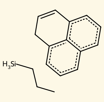 C1=Cc2cccc3cccc(c23)C1.CCC[SiH3]